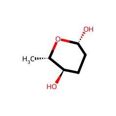 C[C@@H]1O[C@H](O)CC[C@H]1O